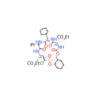 CCOC(=O)C[C@@H](/C=C(\Cl)S(C)(=O)=O)NC(=O)[C@@H](NC(=O)[C@@H](NC(=O)[C@H](CC(=O)OCC)NC(=O)OCc1ccccc1)c1ccccc1)C(C)C